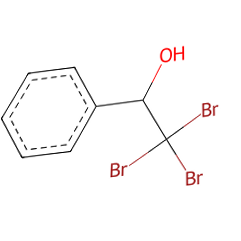 OC(c1ccccc1)C(Br)(Br)Br